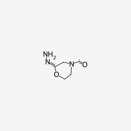 NN=C1CN([C]=O)CCO1